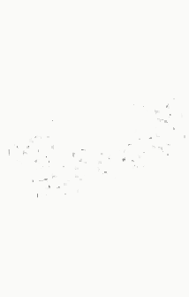 CC(=O)N[C@H]1[C@H](O[C@H]2[C@@H](O)[C@@H](CO)O[C@@H](O[C@H]3[C@H](O)[C@@H](NC(C)=O)[C@H](O[C@H]4[C@@H](O)[C@@H](CO)O[C@@H](O[C@H]5[C@H](O)[C@@H](O)[C@H](O)O[C@@H]5CO)[C@@H]4O)O[C@@H]3CO)[C@@H]2O)O[C@H](CO)[C@@H](O[C@@H]2O[C@H](CO[C@]3(C(=O)O)C[C@H](O)[C@@H](NC(C)=O)[C@H]([C@H](O)[C@H](O)CO)O3)[C@H](O)[C@H](O)[C@H]2O)[C@@H]1O